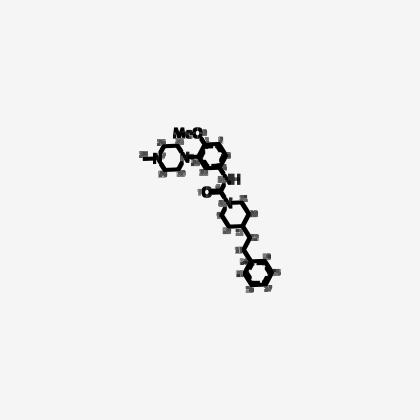 COc1ccc(NC(=O)N2CCC(CCc3ccccc3)CC2)cc1N1CCN(C)CC1